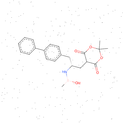 CB(O)N[C@H](Cc1ccc(-c2ccccc2)cc1)CC1C(=O)OC(C)(C)OC1=O